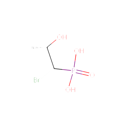 C[C@H](O)[C@@H](Br)P(=O)(O)O